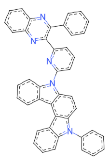 c1ccc(-c2nc3ccccc3nc2-c2cccc(-n3c4ccccc4c4c5c6ccccc6n(-c6ccccc6)c5ccc43)n2)cc1